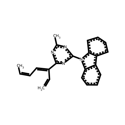 C=C/C(=C\C=C/C)c1nc(C)nc(-n2c3ccccc3c3ccccc32)n1